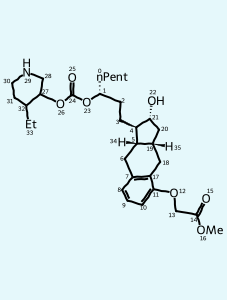 CCCCC[C@H](CC[C@@H]1[C@H]2Cc3cccc(OCC(=O)OC)c3C[C@H]2C[C@H]1O)OC(=O)OC1CNCCC1CC